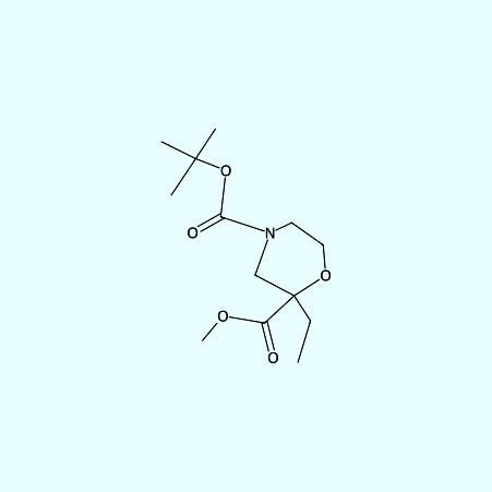 CCC1(C(=O)OC)CN(C(=O)OC(C)(C)C)CCO1